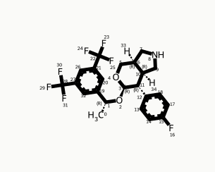 C[C@@H](O[C@H]1OC[C@H]2CNC[C@H]2[C@@H]1c1ccc(F)cc1)c1cc(C(F)(F)F)cc(C(F)(F)F)c1